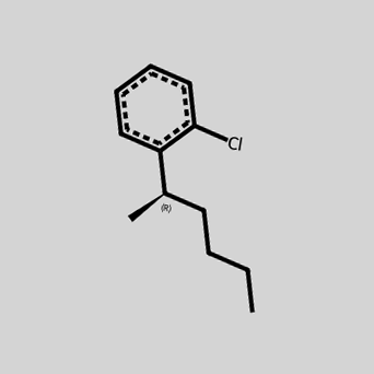 CCCC[C@@H](C)c1ccccc1Cl